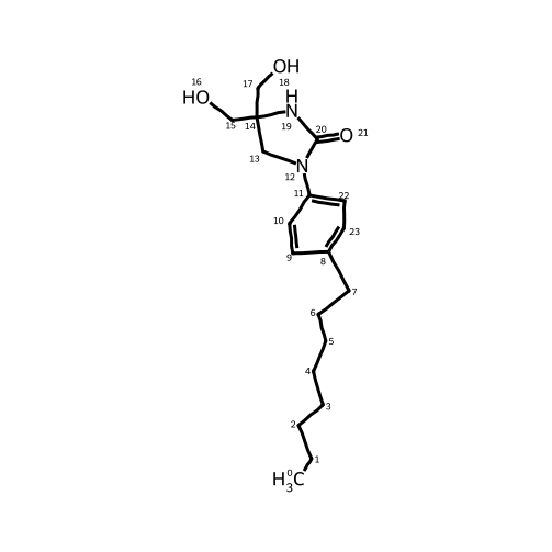 CCCCCCCCc1ccc(N2CC(CO)(CO)NC2=O)cc1